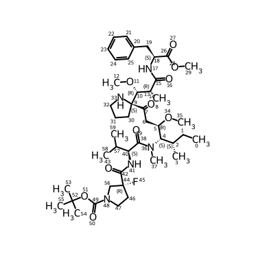 CC[C@H](C)[C@@H]([C@@H](CC(=O)[C@@]1([C@H](OC)[C@@H](C)C(=O)N[C@@H](Cc2ccccc2)C(=O)OC)CCCN1)OC)N(C)C(=O)[C@@H](NC(=O)[C@@]1(F)CCN(C(=O)OC(C)(C)C)C1)C(C)C